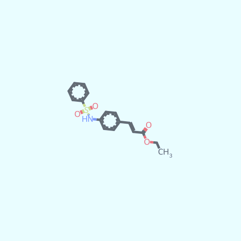 CCOC(=O)/C=C/c1ccc(NS(=O)(=O)c2ccccc2)cc1